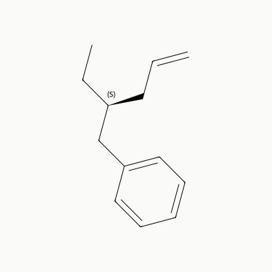 C=CC[C@H](CC)Cc1ccccc1